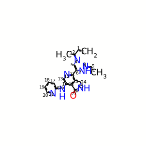 C=C/C(C)=N/C=C(\N/N=C\C)c1ncc(Nc2ccccn2)c2c1CNC2=O